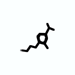 [CH2]CCCc1ccc(C(C)C)cc1C